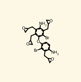 Nc1ccc(Oc2c(Br)c(CC3CO3)c(N)c(CC3CO3)c2CC2CO2)c(Br)c1CC1CO1